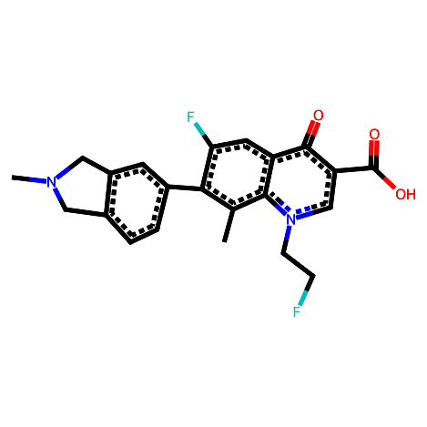 Cc1c(-c2ccc3c(c2)CN(C)C3)c(F)cc2c(=O)c(C(=O)O)cn(CCF)c12